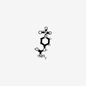 NC(=O)OC1CCN(S(=O)(=O)Cl)CC1